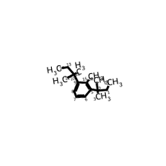 CCC(C)(C)c1cccc(C(C)(C)CC)c1C